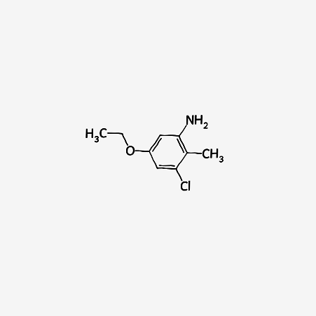 CCOc1cc(N)c(C)c(Cl)c1